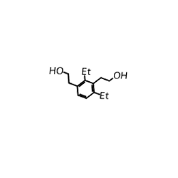 CCc1ccc(CCO)c(CC)c1CCO